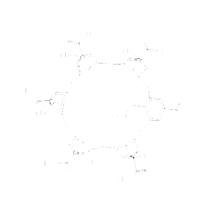 CCCCOc1c2cc(C(C)=S)cc1Cc1cc(C(C)=S)cc(c1OCCCC)Cc1cc(C(C)=S)cc(c1OCCCC)Cc1cc(C(C)=S)cc(c1OCCCC)Cc1cc(C(C)=S)cc(c1OCCCC)Cc1cc(C(C)=S)cc(c1OCCCC)C2